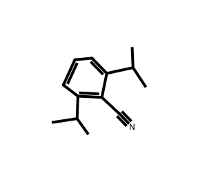 CC(C)c1cccc(C(C)C)c1C#N